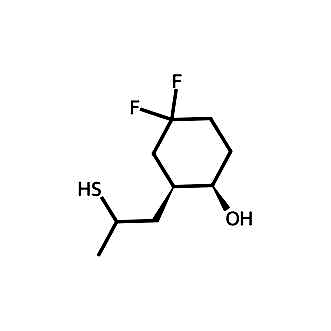 CC(S)C[C@H]1CC(F)(F)CC[C@H]1O